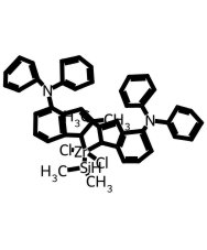 CC1=Cc2c(cccc2N(c2ccccc2)c2ccccc2)[CH]1[Zr]([Cl])([Cl])([CH]1C(C)=Cc2c1cccc2N(c1ccccc1)c1ccccc1)[SiH](C)C